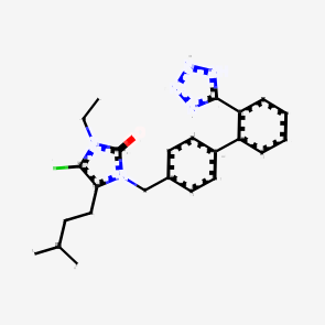 CCn1c(Cl)c(CCC(C)C)n(Cc2ccc(-c3ccccc3-c3nnn[nH]3)cc2)c1=O